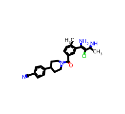 CC(=N)/C(Cl)=C(\N)c1cc(C(=O)N2CCC(c3ccc(C#N)cc3)CC2)ccc1C